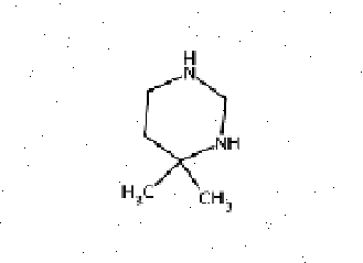 CC1(C)CCNCN1